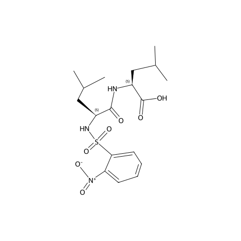 CC(C)C[C@H](NC(=O)[C@H](CC(C)C)NS(=O)(=O)c1ccccc1[N+](=O)[O-])C(=O)O